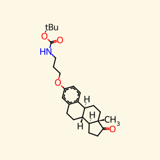 CC(C)(C)OC(=O)NCCCOc1ccc2c(c1)CC[C@@H]1[C@@H]2CC[C@]2(C)C(=O)CC[C@@H]12